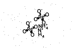 [NH4+].[NH4+].[O]=[Re](=[O])(=[O])[O-].[O]=[Re](=[O])(=[O])[O-]